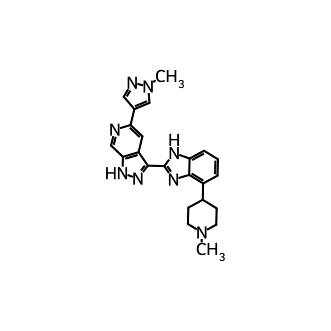 CN1CCC(c2cccc3[nH]c(-c4n[nH]c5cnc(-c6cnn(C)c6)cc45)nc23)CC1